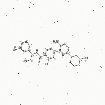 Nc1ncc(C2CCCC(O)C2)nc1-c1ccc(C(=O)NC(CO)c2cccc(Br)c2)c(F)c1